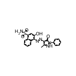 Cc1[nH]n(-c2ccccc2)c(=O)c1/N=N/c1c(O)cc(S(N)(=O)=O)c2ccccc12